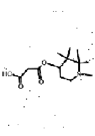 CN1CCC(OC(=O)CC(=O)O)C(C)(C)C1(C)C